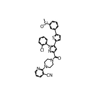 C[S+]([O-])c1cccc(-c2ccc(-c3cc(C(=O)N4CCN(c5ncccc5C#N)CC4)nn3-c3ccccc3Cl)s2)c1